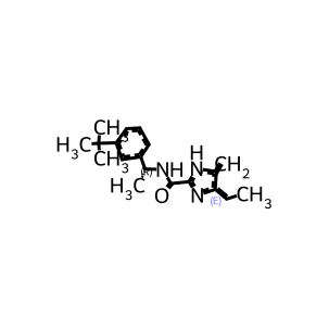 C=c1[nH]c(C(=O)N[C@H](C)c2cccc(C(C)(C)C)c2)n/c1=C/C